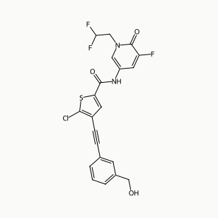 O=C(Nc1cc(F)c(=O)n(CC(F)F)c1)c1cc(C#Cc2cccc(CO)c2)c(Cl)s1